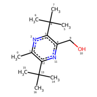 Cc1nc(C(C)(C)C)c(CO)nc1C(C)(C)C